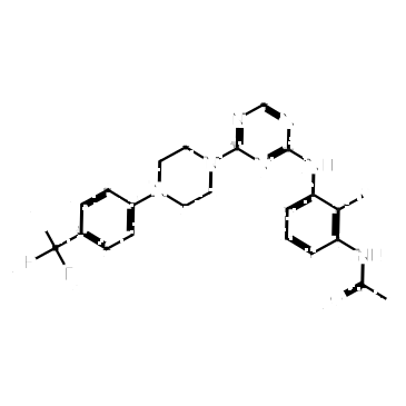 CC(=O)Nc1cccc(Nc2ncnc(N3CCN(c4ccc(C(F)(F)F)cc4)CC3)n2)c1C